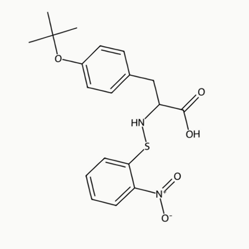 CC(C)(C)Oc1ccc(CC(NSc2ccccc2[N+](=O)[O-])C(=O)O)cc1